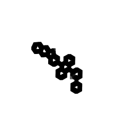 c1ccc(-c2cccc(-c3c4ccccc4c(-c4ccc5c(c4)sc4cc6ccccc6cc45)c4ccccc34)n2)cc1